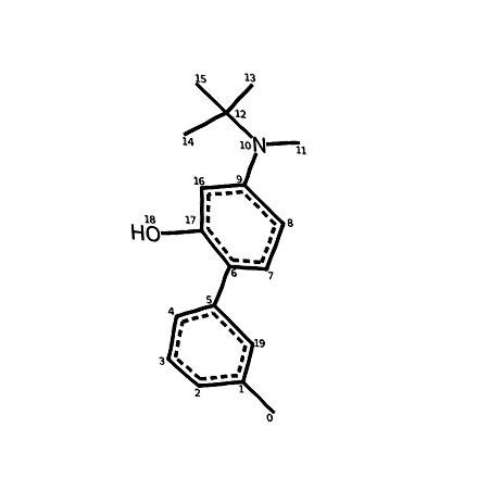 Cc1cccc(-c2ccc(N(C)C(C)(C)C)cc2O)c1